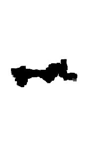 C1=CCCC(N(C2=CCCC=C2)c2ccc(/C=C/c3ccc(C4=CC=C(/C=C/c5ccc(N(c6ccccc6)c6ccccc6)cc5)CC4)cc3)cc2)=C1